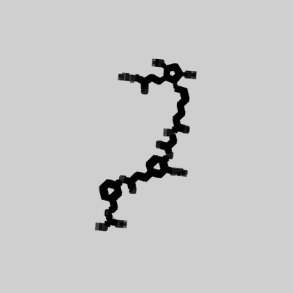 CCCCCCCC(=O)CC[C@@H]1[C@@H](C/C=C\CCCC(=O)NCC(=O)Oc2ccc(/C=C/C(=O)Oc3cccc(CON(O)O)c3)cc2OC)[C@@H](O)C[C@H]1O